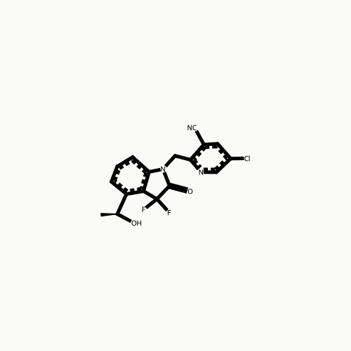 C[C@H](O)c1cccc2c1C(F)(F)C(=O)N2Cc1ncc(Cl)cc1C#N